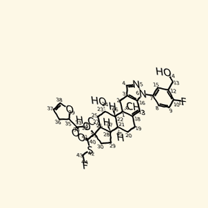 C[C@]12Cc3cnn(-c4ccc(F)c(CO)c4)c3C=C1CC[C@@H]1[C@@H]2[C@@H](O)C[C@@]2(C)[C@H]1CC[C@]2(OC(=O)C1CC=CO1)C(=O)SCF